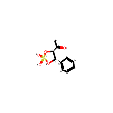 CC(=O)[C@@H]1OS(=O)(=O)O[C@H]1c1ccccc1